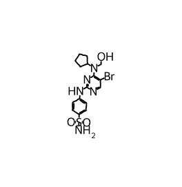 NS(=O)(=O)c1ccc(Nc2ncc(Br)c(N(CO)C3CCCC3)n2)cc1